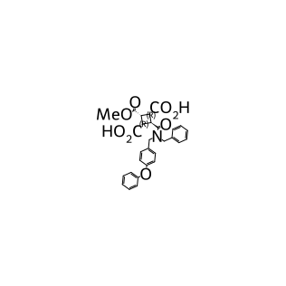 COC(=O)[C@H]1[C@H](C(=O)O)[C@H](C(=O)N(Cc2ccccc2)Cc2ccc(Oc3ccccc3)cc2)[C@H]1C(=O)O